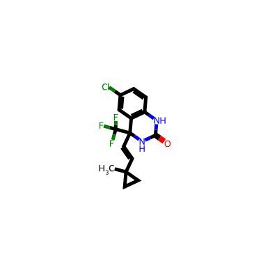 CC1(/C=C/C2(C(F)(F)F)NC(=O)Nc3ccc(Cl)cc32)CC1